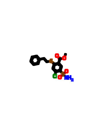 COC(=O)c1cc(S(N)(=O)=O)c(Cl)cc1SCCc1ccccc1